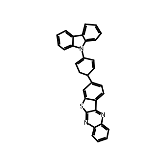 C1=CC(c2ccc3c(c2)sc2nc4ccccc4nc23)CC=C1n1c2ccccc2c2ccccc21